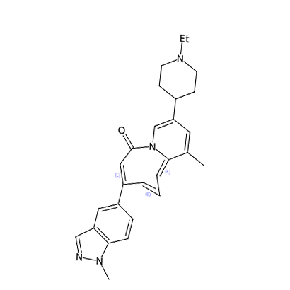 CCN1CCC(C2=CN3C(=O)\C=C(c4ccc5c(cnn5C)c4)/C=C/C=C/3C(C)=C2)CC1